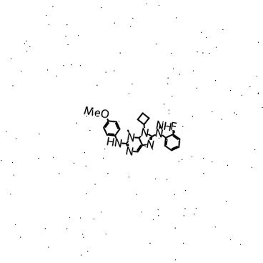 COc1ccc(NC2=NC=C3N=C(N(N)c4ccccc4F)N(C4CCC4)C3N2C)cc1